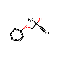 C#CC(C)(O)COc1ccccc1